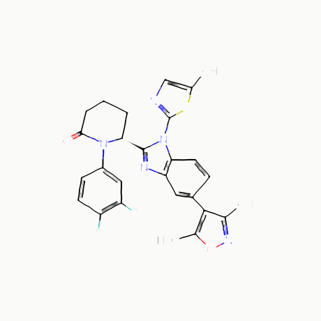 Cc1cnc(-n2c([C@@H]3CCCC(=O)N3c3ccc(F)c(F)c3)nc3cc(-c4c(C)noc4C)ccc32)s1